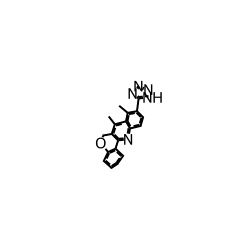 Cc1c(-c2nnn[nH]2)ccc2nc3c(c(C)c12)COc1ccccc1-3